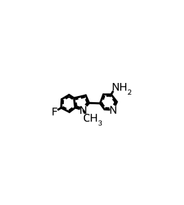 Cn1c(-c2cncc(N)c2)cc2ccc(F)cc21